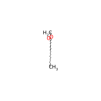 C=CCOC(=O)/C=C/C=C/C=C/C=C/CCCCCCCCCCC